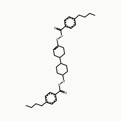 CCCCc1ccc(C(=O)OOC2=CCC(C3CCC(OOC(=O)c4ccc(CCCC)cc4)CC3)CC2)cc1